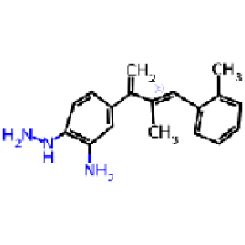 C=C(/C(C)=C/c1ccccc1C)c1ccc(NN)c(N)c1